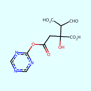 O=CC(C(=O)O)C(O)(CC(=O)Oc1ncncn1)C(=O)O